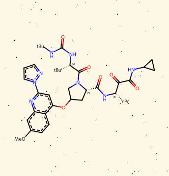 CCC[C@H](NC(=O)[C@@H]1CC(Oc2cc(-n3cccn3)nc3cc(OC)ccc23)CN1C(=O)[C@@H](NC(=O)NC(C)(C)C)C(C)(C)C)C(=O)C(=O)NC1CC1